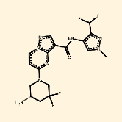 Cn1cc(NC(=O)c2cnn3ccc(N4C[C@@H](N)CC(F)(F)C4)nc23)c(C(F)F)n1